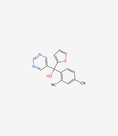 N#Cc1ccc(C(O)(c2cncnc2)c2ccco2)c(C#N)c1